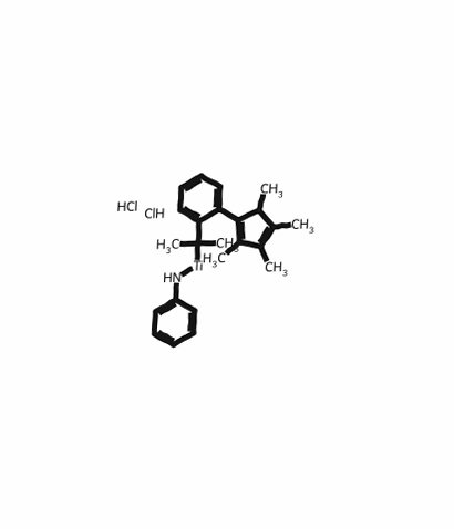 CC1=C(C)C(C)C(c2ccccc2[C](C)(C)[Ti][NH]c2ccccc2)=C1C.Cl.Cl